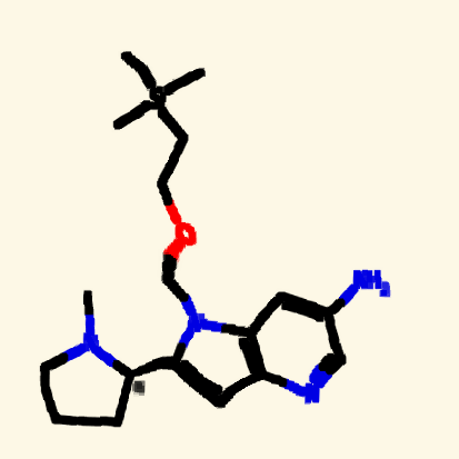 CN1CCC[C@@H]1c1cc2ncc(N)cc2n1COCC[Si](C)(C)C